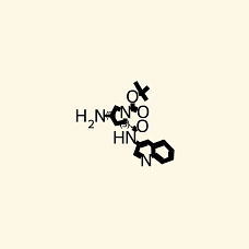 CC(C)(C)OC(=O)N1C[C@H](N)C[C@H]1C(=O)Nc1cnc2ccccc2c1